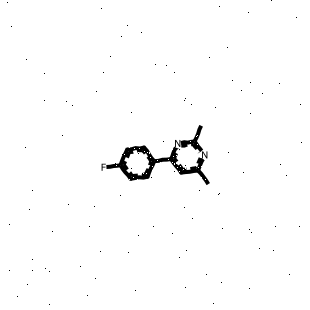 Cc1cc(-c2ccc(F)cc2)nc(C)n1